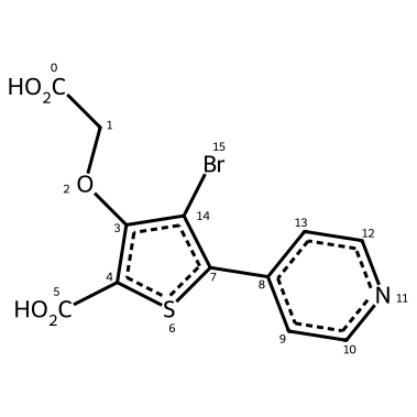 O=C(O)COc1c(C(=O)O)sc(-c2ccncc2)c1Br